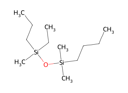 CCCC[Si](C)(C)O[Si](C)(CC)CCC